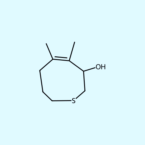 C/C1=C(\C)C(O)CSCCC1